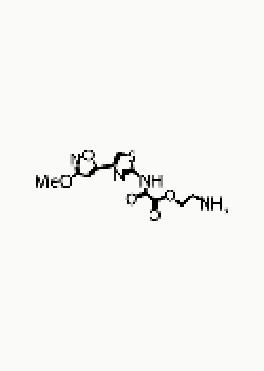 COc1cc(-c2csc(NC(=O)C(=O)OCCN)n2)on1